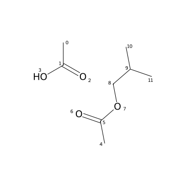 CC(=O)O.CC(=O)OCC(C)C